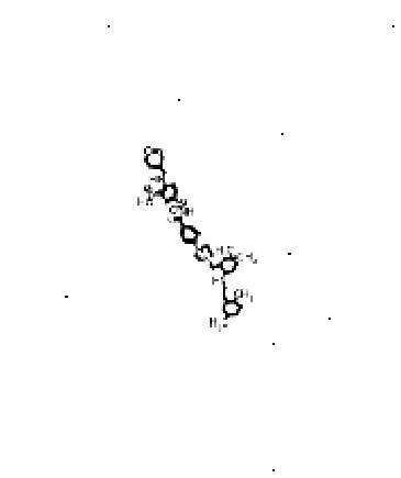 CC1=CCC(C)CC1CCNC1CCC(C)(C)CC1CN1CCN(c2ccc(C(=O)NS(=O)(=O)c3ccc(NCC4CCOCC4)c([N+](=O)O)c3)cc2)CC1